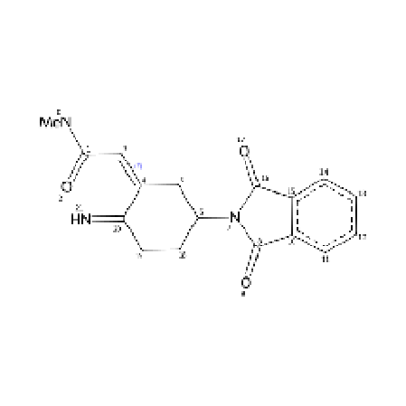 CNC(=O)/C=C1/CC(N2C(=O)c3ccccc3C2=O)CCC1=N